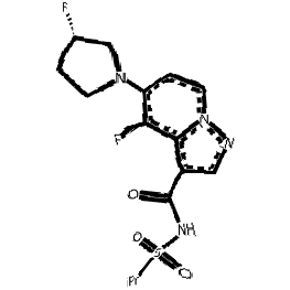 CC(C)S(=O)(=O)NC(=O)c1cnn2ccc(N3CC[C@H](F)C3)c(F)c12